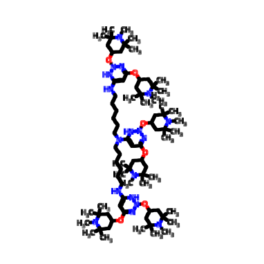 CN1C(C)(C)CC(OC2=NN(OC3CC(C)(C)N(C)C(C)(C)C3)NC(NCCCCCCN(CCCCCCNC3=CC(OC4CC(C)(C)N(C)C(C)(C)C4)=NN(OC4CC(C)(C)N(C)C(C)(C)C4)N3)C3=CC(OC4CC(C)(C)N(C)C(C)(C)C4)=NN(OC4CC(C)(C)N(C)C(C)(C)C4)N3)=C2)CC1(C)C